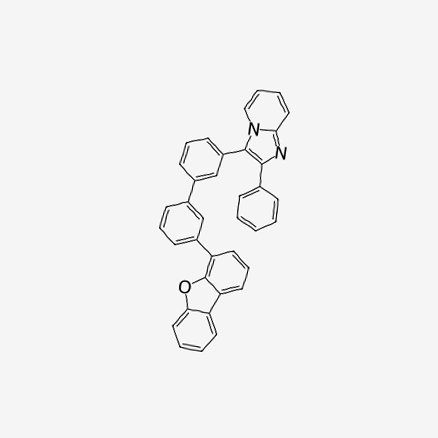 c1ccc(-c2nc3ccccn3c2-c2cccc(-c3cccc(-c4cccc5c4oc4ccccc45)c3)c2)cc1